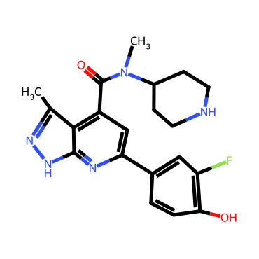 Cc1n[nH]c2nc(-c3ccc(O)c(F)c3)cc(C(=O)N(C)C3CCNCC3)c12